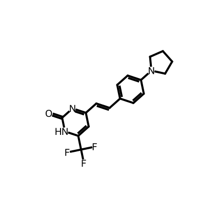 O=c1nc(C=Cc2ccc(N3CCCC3)cc2)cc(C(F)(F)F)[nH]1